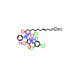 CCCCCCCCCCCCC=CCCC(Cl)CC1CC(=O)N(N(c2ccccc2)c2[nH]n(-c3c(Cl)cc(Cl)cc3Cl)c(=O)c2O)C1=O